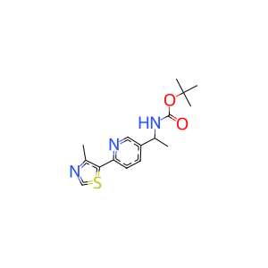 Cc1ncsc1-c1ccc(C(C)NC(=O)OC(C)(C)C)cn1